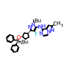 Cc1cc2c(Nc3c(F)c([C@H]4CC[C@@H](O[Si](c5ccccc5)(c5ccccc5)C(C)(C)C)C4)nn3C(C)(C)C)nccn2n1